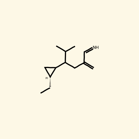 C=C(C=N)CC(C(C)C)C1C[C@H]1CC